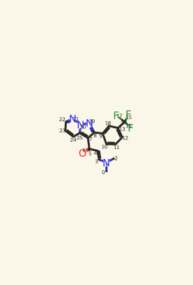 CN(C)C=CC(=O)c1c(-c2cccc(C(F)(F)F)c2)nn2ncccc12